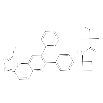 CC(C)(CO)C(=O)NC1(c2ccc(-c3nc4ccc5nnc(O)n5c4cc3-c3ccccc3)cc2)CCC1